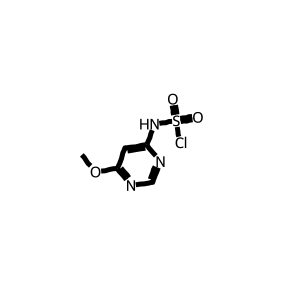 COc1cc(NS(=O)(=O)Cl)ncn1